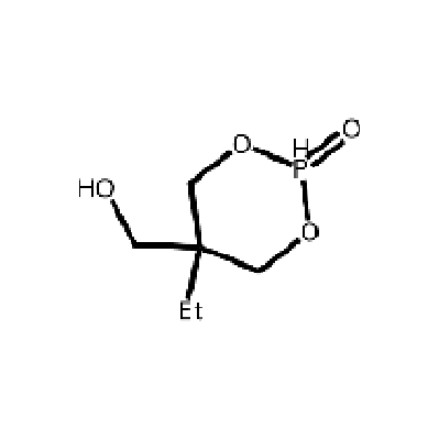 CCC1(CO)CO[PH](=O)OC1